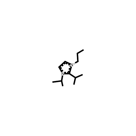 CCC[n+]1ccn(C(C)C)c1C(C)C